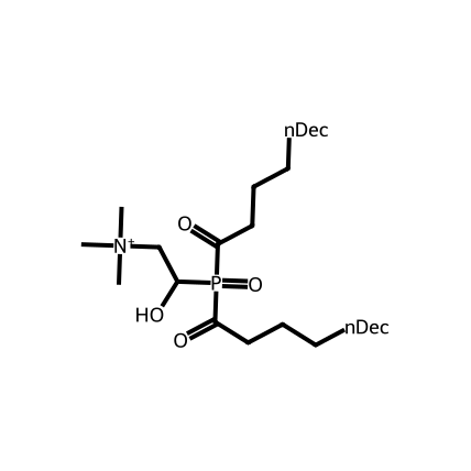 CCCCCCCCCCCCCC(=O)P(=O)(C(=O)CCCCCCCCCCCCC)C(O)C[N+](C)(C)C